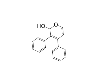 OC1OC=CC(c2ccccc2)=C1c1ccccc1